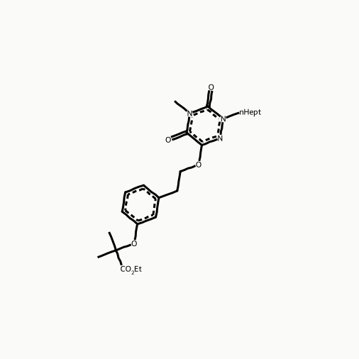 CCCCCCCn1nc(OCCc2cccc(OC(C)(C)C(=O)OCC)c2)c(=O)n(C)c1=O